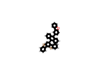 c1ccc2c(c1)oc1ccc(-c3c4ccccc4c(-c4cc5sc6ccccc6c5c5sc6ccccc6c45)c4ccccc34)cc12